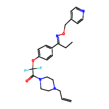 C=CCN1CCN(C(=O)C(F)(F)Oc2ccc(C(CC)=NOCc3ccncc3)cc2)CC1